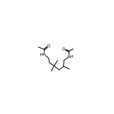 CC(=O)NCCC(C)(C)CC(C)CNC(C)=O